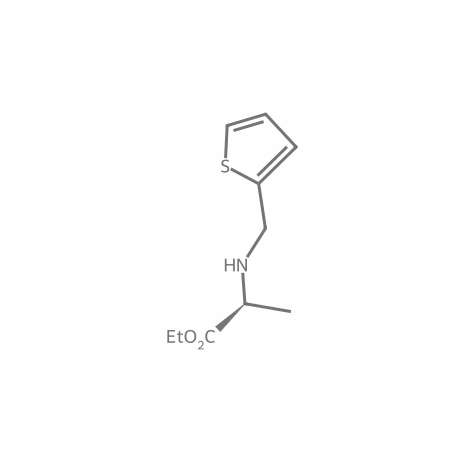 CCOC(=O)[C@H](C)NCc1cccs1